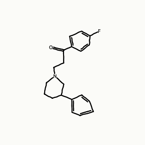 O=C(CCN1CCCC(c2ccccc2)C1)c1ccc(F)cc1